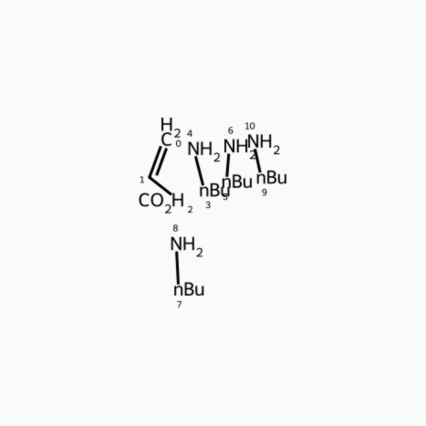 C=CC(=O)O.CCCCN.CCCCN.CCCCN.CCCCN